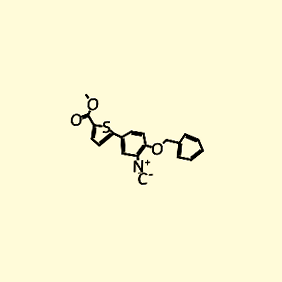 [C-]#[N+]c1cc(-c2ccc(C(=O)OC)s2)ccc1OCc1ccccc1